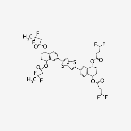 CC(F)(F)CC(=O)OC1CCC(OC(=O)CC(C)(F)F)c2cc(-c3cc4sc(-c5ccc6c(c5)C(OC(=O)CC=C(F)F)CCC6OC(=O)CC=C(F)F)cc4s3)ccc21